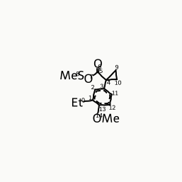 CCc1cc(C2(C(=O)OSC)CC2)ccc1OC